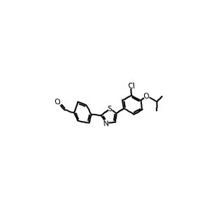 CC(C)Oc1ccc(-c2cnc(-c3ccc(C=O)cc3)s2)cc1Cl